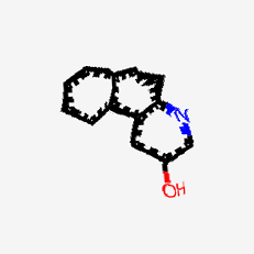 Oc1cnc2ccc3ccccc3c2c1